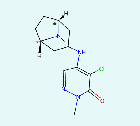 CN1[C@@H]2CC[C@H]1CC(Nc1cnn(C)c(=O)c1Cl)C2